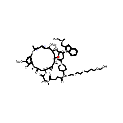 CNN(C)Cc1cc2ccccc2n1CCC(=O)N1CCC(N(CCOCCOCCCOCO)C(=O)CCC(=O)N(C)[C@@H](C)C(=O)O[C@H]2CC(=O)N(C)c3cc(cc(OC)c3Cl)C/C(C)=C/C=C/[C@@H](OC)[C@@]3(O)C[C@H](OC(=O)N3)[C@@H](C)C3O[C@]32C)CC1